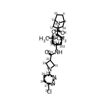 CC(C)(C)OC(=O)N1C2CCC1CC(c1ccc(NC(=O)C3CN(c4ccc(Cl)nn4)C3)cc1)C2